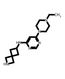 CCN1CCN(c2cc(NC3CC4(CNC4)C3)ncn2)CC1